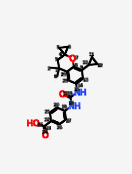 CC1(C)CC2(CC2)Oc2c(C3CC3)cc(NC(=O)Nc3ccc(C(=O)O)cc3)cc21